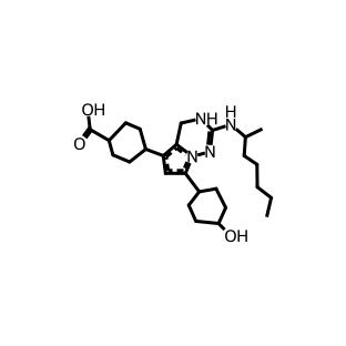 CCCCCC(C)NC1=Nn2c(C3CCC(O)CC3)cc(C3CCC(C(=O)O)CC3)c2CN1